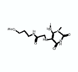 COCCCNC(=O)CNc1c(NI)n(C)c(=O)[nH]c1=O